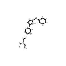 CC[C@H](C=N)COc1ccc(-c2ncc(Cc3ccccc3)s2)cc1